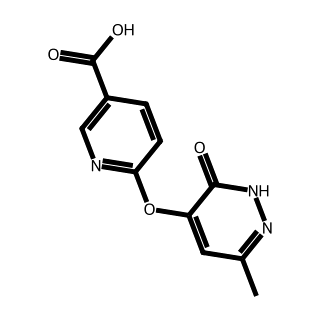 Cc1cc(Oc2ccc(C(=O)O)cn2)c(=O)[nH]n1